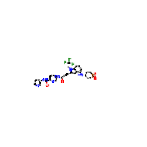 O=C(C#Cc1cc2c(NC3CCS(=O)(=O)CC3)cccc2n1CC(F)(F)F)Nc1ccc(C(=O)Nc2cccnc2)nc1